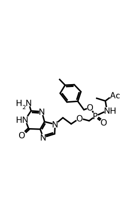 CC(=O)C(C)NP(=O)(COCCn1cnc2c(=O)[nH]c(N)nc21)OCc1ccc(C)cc1